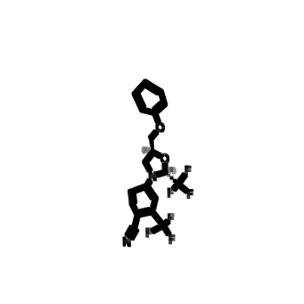 N#Cc1ccc(N2C[C@@H](COc3ccccc3)O[C@@H]2C(F)(F)F)cc1C(F)(F)F